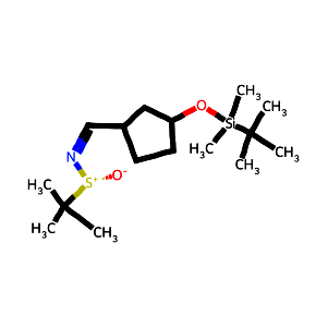 CC(C)(C)[S@@+]([O-])/N=C\C1CCC(O[Si](C)(C)C(C)(C)C)C1